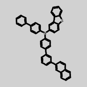 c1ccc(-c2ccc(N(c3ccc(-c4cccc(-c5ccc6ccccc6c5)c4)cc3)c3ccc4sc5ccccc5c4c3)cc2)cc1